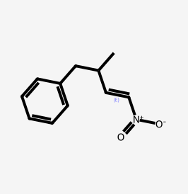 CC(/C=C/[N+](=O)[O-])Cc1ccccc1